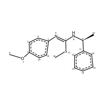 COc1ccc(N=C(N[C@@H](C)c2ccccc2)SC)cc1